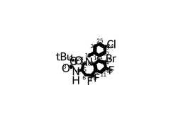 CC(C)(C)OC(=O)NC1CC(F)(F)c2cc(F)c(Br)cc2N(Cc2ccc(Cl)cc2)C1=O